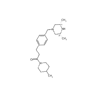 CC1CCN(C(=O)CCc2ccc(CN3C[C@@H](C)N[C@@H](C)C3)cc2)CC1